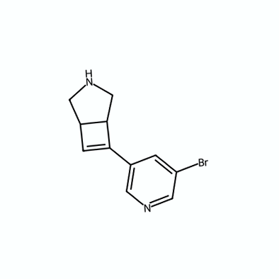 Brc1cncc(C2=CC3CNCC23)c1